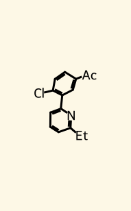 CCc1cccc(-c2cc(C(C)=O)ccc2Cl)n1